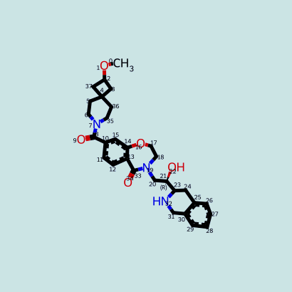 COC1CC2(CCN(C(=O)c3ccc4c(c3)OCCN(C[C@@H](O)C3Cc5ccccc5CN3)C4=O)CC2)C1